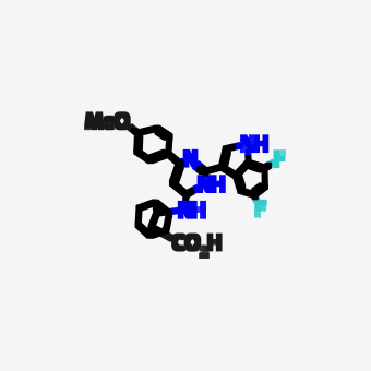 COc1ccc(C2=CC(NC3C4CCC(CC4)C3C(=O)O)NC(c3c[nH]c4c(F)cc(F)cc34)=N2)cc1